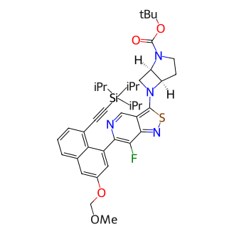 COCOc1cc(-c2ncc3c(N4C[C@@H]5[C@H]4CCN5C(=O)OC(C)(C)C)snc3c2F)c2c(C#C[Si](C(C)C)(C(C)C)C(C)C)cccc2c1